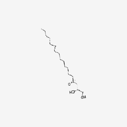 CCCCCCCCCCCCCC[S+]([O-])CC(O)CO